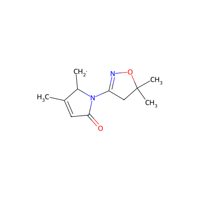 [CH2]C1C(C)=CC(=O)N1C1=NOC(C)(C)C1